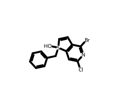 OS1(Cc2ccccc2)C=Cc2c1cc(Cl)nc2Br